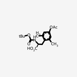 CC(=O)Oc1cc(C)c(C[C@H](NC(=O)OC(C)(C)C)C(=O)O)c(C)c1